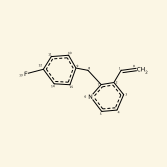 C=Cc1cccnc1Cc1ccc(F)cc1